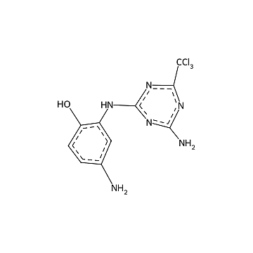 Nc1ccc(O)c(Nc2nc(N)nc(C(Cl)(Cl)Cl)n2)c1